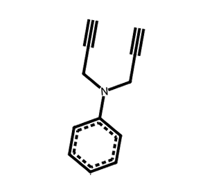 C#CCN(CC#C)c1cc[c]cc1